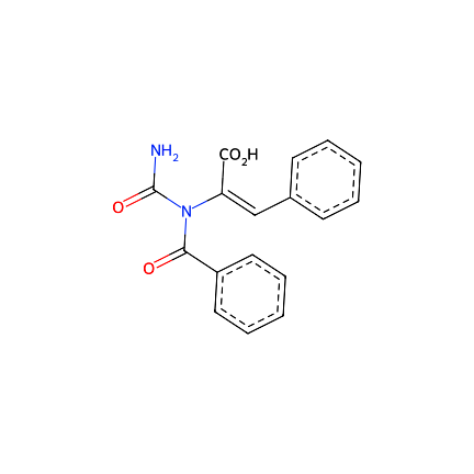 NC(=O)N(C(=O)c1ccccc1)C(=Cc1ccccc1)C(=O)O